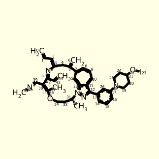 C=C/C=C1CC(=C)C2=C=CC=c3c(-c4cccc(N5CCC(OI)CC5)c4)nn(c3=C2)[C@@H](C)CCO/C(C)=C(C=[N+]=C)/C(C=C)=N/1